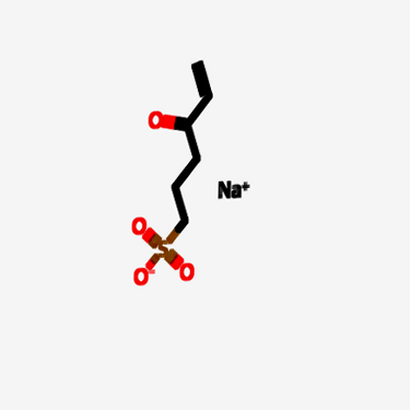 C=CC(=O)CCCS(=O)(=O)[O-].[Na+]